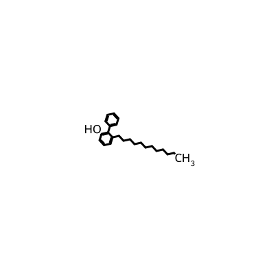 CCCCCCCCCCCCc1cccc(O)c1-c1ccccc1